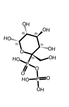 O=P(O)(O)OP(=O)(O)[C@]1(CO)O[C@H](O)[C@H](O)[C@@H](O)[C@@H]1O